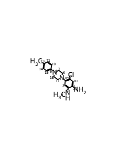 CNc1cc(N2CCN(c3ccc(C)cc3)CC2)c(Cl)cc1N